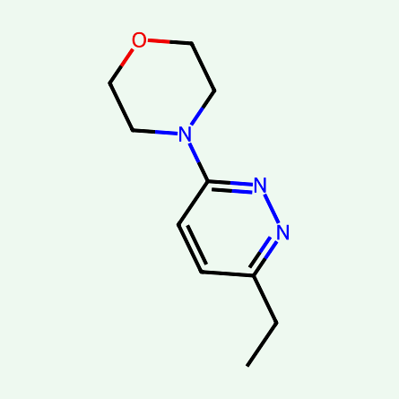 CCc1ccc(N2CCOCC2)nn1